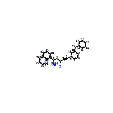 NC(CCC#Cc1cccc(Cc2ccccc2)c1)c1cccc2cccnc12